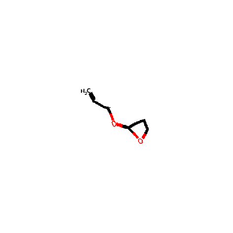 C=C[CH]OC1CCO1